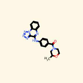 CC1CN(C(=O)c2ccc(Nc3nc4ccccc4n4nnnc34)cc2)CCO1